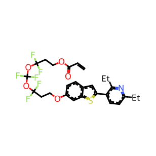 C=CC(=O)OCCC(F)(F)OC(F)(F)OC(F)(F)CCOc1ccc2cc(-c3ccc(CC)nc3CC)sc2c1